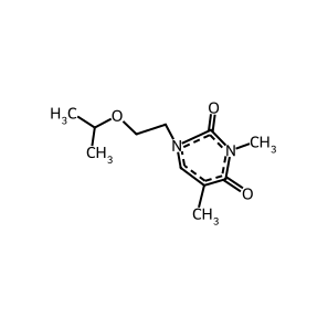 Cc1cn(CCOC(C)C)c(=O)n(C)c1=O